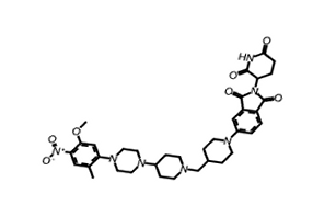 COc1cc(N2CCN(C3CCN(CC4CCN(c5ccc6c(c5)C(=O)N(C5CCC(=O)NC5=O)C6=O)CC4)CC3)CC2)c(C)cc1[N+](=O)[O-]